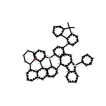 CC1(C)c2ccccc2-c2c(-c3ccc(N(c4ccccc4-c4cccc5cccc(C6CCCCC6)c45)c4ccccc4-c4cccc5c4c4ccccc4n5-c4ccccc4)cc3)cccc21